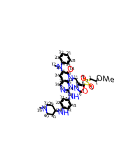 COCCS(=O)(=O)c1ocnc1Cn1c(=O)c(N(C)c2ccccc2)cc2cnc(Nc3ccc(NC4CCN(C)CC4)cc3)nc21